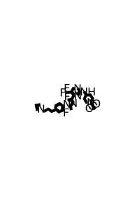 Cc1nc(-c2nc(NC3CCN(S(C)(=O)=O)CC3)ncc2C(F)(F)F)cn1-c1ccc(CCCN2CCC2)cc1F